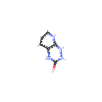 O=c1nnc2ncccc2[nH]1